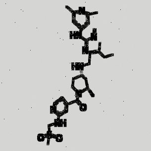 C=N/C(=N\C(CN[C@H]1CCN(C(=O)c2ccnc(NCS(C)(=O)=O)c2)[C@H](C)C1)=C(/C)CC)Nc1cc(C)nc(C)c1